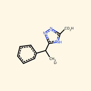 CC(c1ccccc1)c1nnc(C(=O)O)[nH]1.[Li]